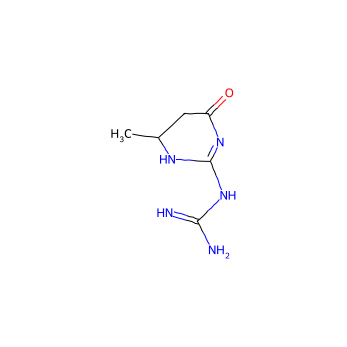 CC1CC(=O)N=C(NC(=N)N)N1